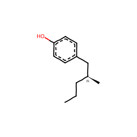 CCC[C@H](C)Cc1ccc(O)cc1